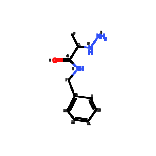 CC(NN)C(=O)NCc1[c]cccc1